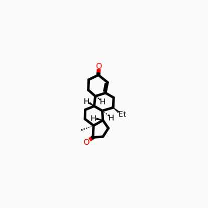 CC[C@@H]1CC2=CC(=O)CC[C@@H]2[C@H]2CC[C@]3(C)C(=O)CC[C@H]3[C@H]12